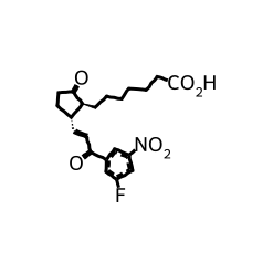 O=C(O)CCCCCC[C@@H]1C(=O)CC[C@H]1C=CC(=O)c1cc(F)cc([N+](=O)[O-])c1